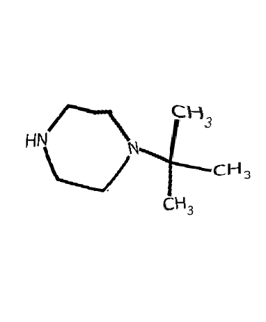 CC(C)(C)N1[CH]CNCC1